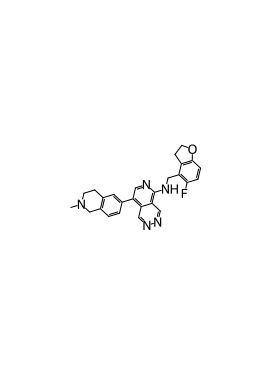 CN1CCc2cc(-c3cnc(NCc4c(F)ccc5c4CCO5)c4cnncc34)ccc2C1